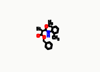 CCC(C(=O)Nc1c(C)cccc1C)C(=O)OCc1ccccc1